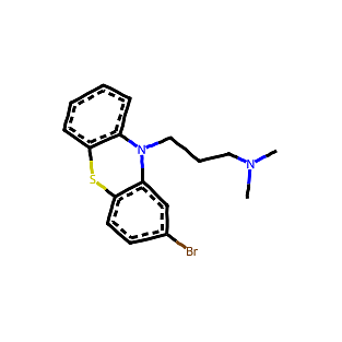 CN(C)CCCN1c2ccccc2Sc2ccc(Br)cc21